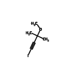 [CH2]OC(C)(C)C#CI